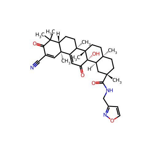 CC1(C)C(=O)C(C#N)=C[C@]2(C)C3=CC(=O)[C@]4(O)[C@@H]5C[C@@](C)(C(=O)NCc6ccon6)CC[C@]5(C)CC[C@@]4(C)[C@]3(C)CC[C@@H]12